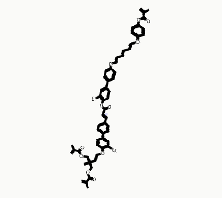 C=C(C)C(=O)OCC(C)(CCOc1ccc(-c2ccc(/C=C/C(=O)Oc3ccc(-c4ccc(OCCCCCCOc5ccc(OC(=O)C(=C)C)cc5)cc4)cc3CC)cc2)cc1CC)COC(=O)C(=C)C